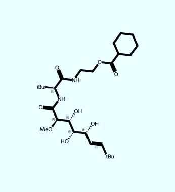 CCC(C)[C@H](NC(=O)[C@H](OC)[C@H](O)[C@@H](O)[C@H](O)/C=C/C(C)(C)C)C(=O)NCCOC(=O)C1CCCCC1